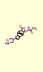 CC(=O)NC[C@@H]1OC(=O)N2C3=C/C(=C4\C(F)=C3c3nc(N5CCS(=N)(=O)CC5)ccc34)C12